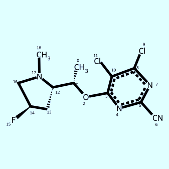 C[C@H](Oc1nc(C#N)nc(Cl)c1Cl)[C@@H]1C[C@@H](F)CN1C